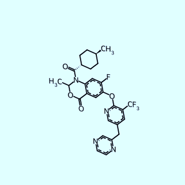 CC1OC(=O)c2cc(Oc3ncc(Cc4cnccn4)cc3C(F)(F)F)c(F)cc2N1C(=O)[C@H]1CC[C@H](C)CC1